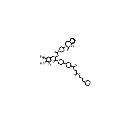 Nc1c(Cl)cc(C[C@@H](OC(=O)N2CCC(N3CCc4ccccc4NC3=O)CC2)C(=O)N2CCC(C3CCN(C(=O)CCC(=O)OCCCN4CCOCC4)CC3)CC2)cc1C(F)(F)F